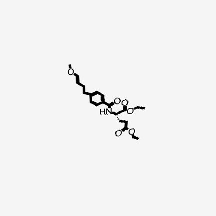 CCOC(=O)CC[C@H](NC(=O)c1ccc(CCC=COC)cc1)C(=O)OCC